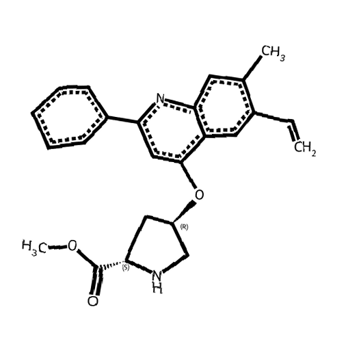 C=Cc1cc2c(O[C@H]3CN[C@H](C(=O)OC)C3)cc(-c3ccccc3)nc2cc1C